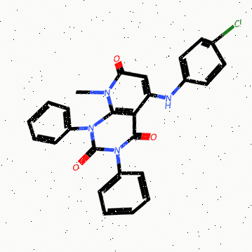 Cn1c(=O)cc(Nc2ccc(Cl)cc2)c2c(=O)n(-c3ccccc3)c(=O)n(-c3ccccc3)c21